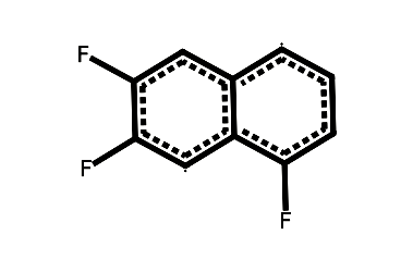 Fc1[c]c2c(F)cc[c]c2cc1F